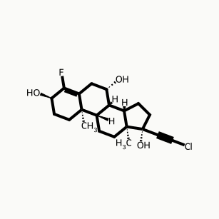 C[C@]12CC[C@@H](O)C(F)=C1C[C@H](O)[C@@H]1[C@@H]2CC[C@@]2(C)[C@H]1CC[C@@]2(O)C#CCl